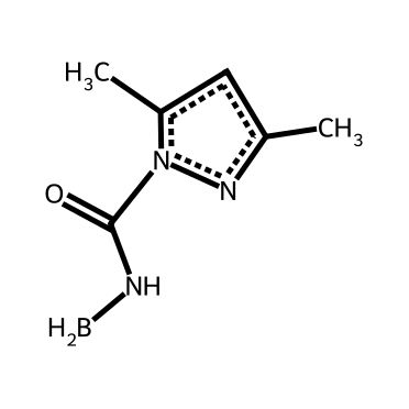 BNC(=O)n1nc(C)cc1C